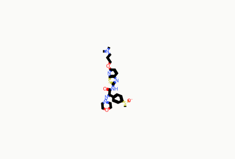 CN(C)CCCOc1ccc2nc(NC(=O)/C(=N/N3CCOCC3)c3ccc([S+](C)[O-])cc3)sc2n1